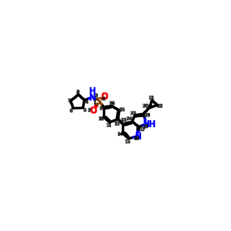 O=S(=O)(NC1CCCC1)c1ccc(-c2ccnc3[nH]c(C4CC4)cc23)cc1